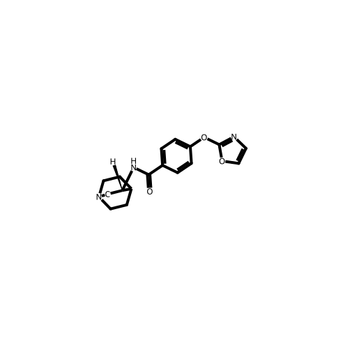 O=C(N[C@H]1CN2CCC1CC2)c1ccc(Oc2ncco2)cc1